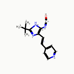 CC(C)(C)c1nc(/C=C/c2ccncc2)c(N=C=O)[nH]1